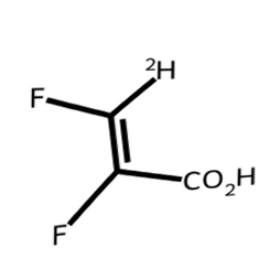 [2H]C(F)=C(F)C(=O)O